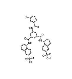 O=C(Nc1cc(C(=O)Nc2cccc3cc(S(=O)(=O)O)ccc23)cc(C(=O)Nc2cccc3cc(S(=O)(=O)O)ccc23)c1)c1cccc(Cl)c1